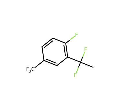 CC(F)(F)c1cc(C(F)(F)F)ccc1F